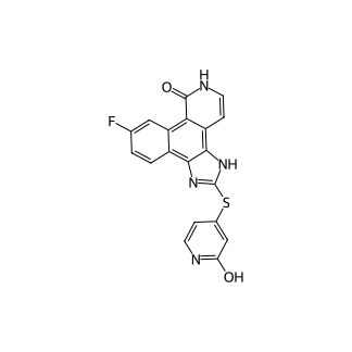 O=c1[nH]ccc2c3[nH]c(Sc4ccnc(O)c4)nc3c3ccc(F)cc3c12